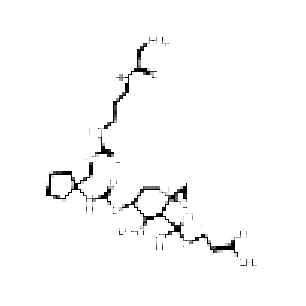 COC1C(OC(=O)NC2(COC(=O)NCCCNC(=O)CN)CCCC2)CC[C@]2(CO2)C1C(C)(C)OCC=C(C)C